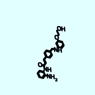 Nc1ccccc1NC(=O)/C=C/c1ccc(CNc2cccc(OCCO)c2)cc1